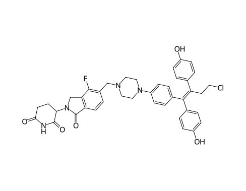 O=C1CCC(N2Cc3c(ccc(CN4CCN(c5ccc(/C(=C(/CCCl)c6ccc(O)cc6)c6ccc(O)cc6)cc5)CC4)c3F)C2=O)C(=O)N1